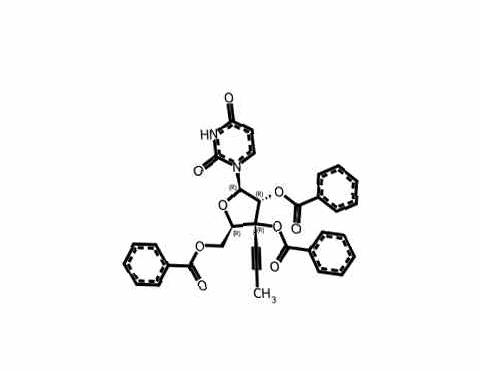 CC#C[C@@]1(OC(=O)c2ccccc2)[C@@H](COC(=O)c2ccccc2)O[C@@H](n2ccc(=O)[nH]c2=O)[C@@H]1OC(=O)c1ccccc1